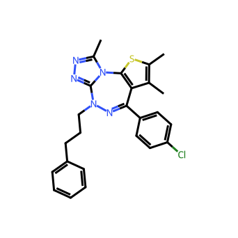 Cc1sc2c(c1C)C(c1ccc(Cl)cc1)=NN(CCCc1ccccc1)c1nnc(C)n1-2